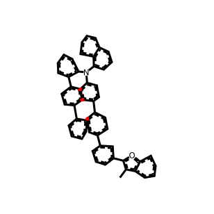 Cc1c(-c2cccc(-c3ccc(-c4ccc(N(c5ccccc5-c5ccc(-c6ccccc6)cc5)c5cccc6ccccc56)cc4)cc3)c2)oc2ccccc12